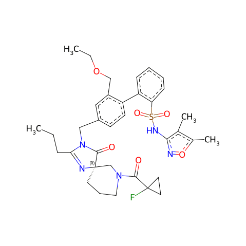 CCCC1=N[C@@]2(CCCN(C(=O)C3(F)CC3)C2)C(=O)N1Cc1ccc(-c2ccccc2S(=O)(=O)Nc2noc(C)c2C)c(COCC)c1